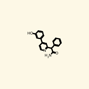 NC(=O)C(c1ccccc1)c1cc(-c2cccc(O)c2)ccn1